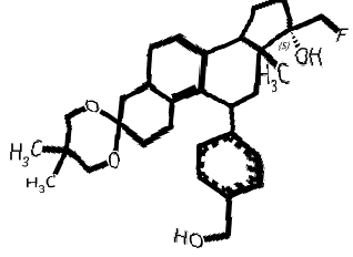 CC1(C)COC2(CCC3=C4C(c5ccc(CO)cc5)CC5(C)C(CC[C@@]5(O)CF)C4CCC3C2)OC1